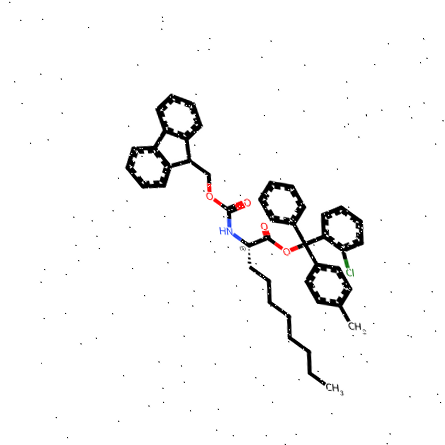 CCCCCCCC[C@H](NC(=O)OCC1c2ccccc2-c2ccccc21)C(=O)OC(c1ccccc1)(c1ccc(C)cc1)c1ccccc1Cl